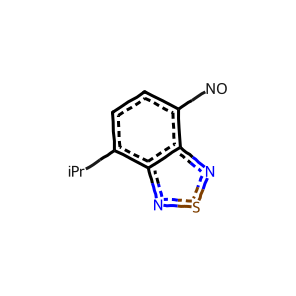 CC(C)c1ccc(N=O)c2nsnc12